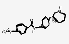 CSc1ccc(C(=O)NC2=CCC([C@@H]3CCCNC3)C=C2)cc1